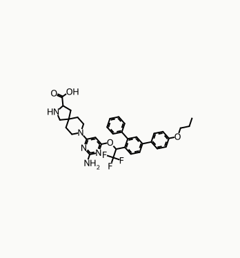 CCCOc1ccc(-c2ccc(C(Oc3cc(N4CCC5(CC4)CNC(C(=O)O)C5)nc(N)n3)C(F)(F)F)c(-c3ccccc3)c2)cc1